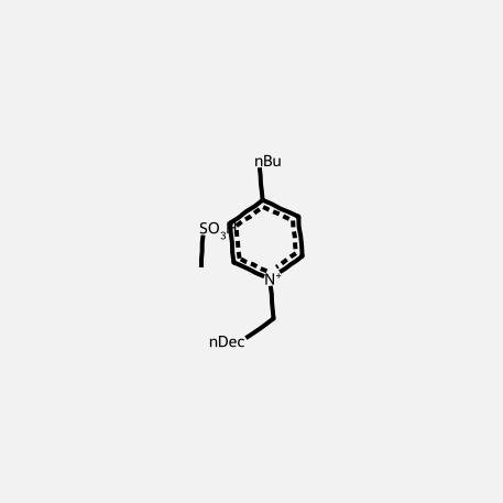 CCCCCCCCCCC[n+]1ccc(CCCC)cc1.CS(=O)(=O)O